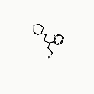 OCCC(CCC1CCCCC1)c1ccccn1